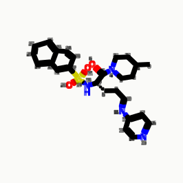 CC1CCN(C(=O)[C@H](CC/C=N/c2ccncc2)NS(=O)(=O)c2ccc3ccccc3c2)CC1